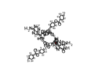 CO[C@H]1[C@H]2OP(=O)(OCc3ccc(OC(=O)c4ccc(C)cc4)cc3)OCC34C[C@@H]3[C@@H](n3cnc5c(N)ncnc53)[C@H](O)[C@@H]4OP(=O)(SCc3ccc(OC(=O)c4ccc(C)cc4)cc3)OC[C@H]1O[C@H]2n1cnc2c(=O)[nH]c(N)nc21